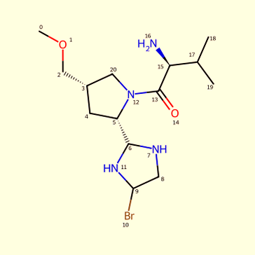 COC[C@H]1C[C@@H](C2NCC(Br)N2)N(C(=O)[C@@H](N)C(C)C)C1